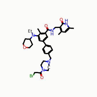 CCN(c1cc(-c2ccc(CN3CCN(C(=O)CBr)CC3)cc2)cc(C(=O)NCc2c(C)cc(C)[nH]c2=O)c1C)C1CCOCC1